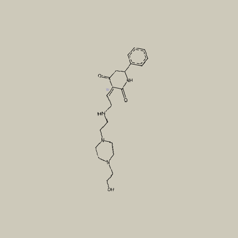 O=C1CC(c2ccccc2)NC(=O)/C1=C\CNCCN1CCN(CCO)CC1